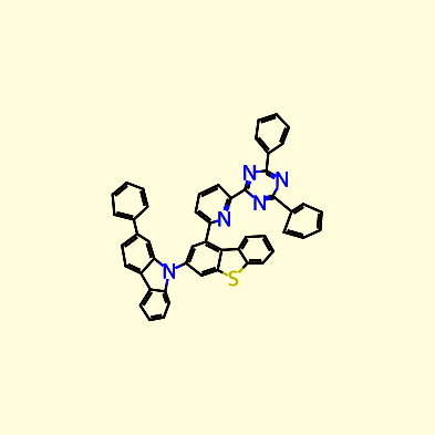 c1ccc(-c2ccc3c4ccccc4n(-c4cc(-c5cccc(-c6nc(-c7ccccc7)nc(-c7ccccc7)n6)n5)c5c(c4)sc4ccccc45)c3c2)cc1